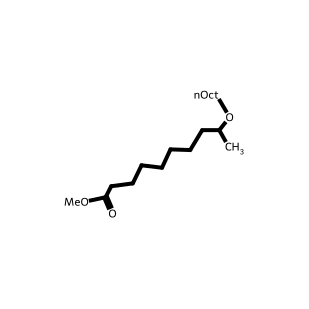 CCCCCCCCOC(C)CCCCCCCC(=O)OC